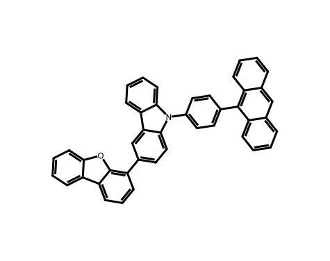 c1ccc2c(-c3ccc(-n4c5ccccc5c5cc(-c6cccc7c6oc6ccccc67)ccc54)cc3)c3ccccc3cc2c1